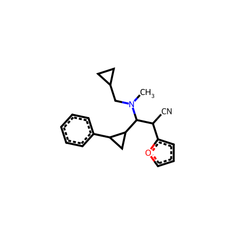 CN(CC1CC1)C(C(C#N)c1ccco1)C1CC1c1ccccc1